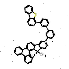 CC1(C)c2ccc(-c3cccc(-c4cccc(-c5cccc6c5sc5ccccc56)c4)c3)cc2-c2ccc3c4ccccc4c4ccccc4c3c21